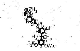 COc1cc(OC(F)(F)F)cc(C(C)(C)c2cc(Cl)cc(NC(=O)c3cc4cc(NS(C)(=O)=O)cnc4s3)c2)c1